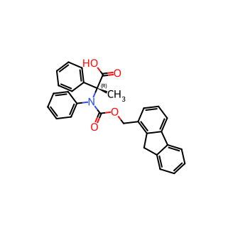 C[C@](C(=O)O)(c1ccccc1)N(C(=O)OCc1cccc2c1Cc1ccccc1-2)c1ccccc1